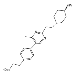 CCCCCCCCCCCCc1ccc(-c2cnc(CC[C@H]3CC[C@H](CCC)CC3)nc2C)cc1